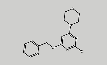 Clc1nc(OCc2ccccn2)cc(N2CCOCC2)n1